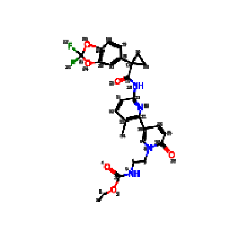 CCOC(=O)NCCn1cc(-c2nc(NC(=O)C3(c4ccc5c(c4)OC(F)(F)O5)CC3)ccc2C)ccc1=O